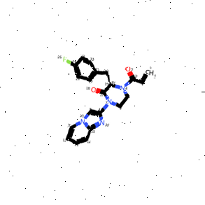 C=CC(=O)N1CCN(c2cn3ccccc3n2)C(=O)[C@H]1Cc1ccc(F)cc1